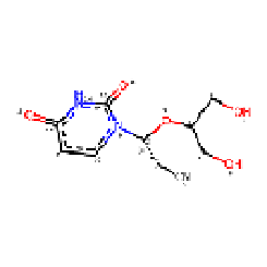 N#CC[C@@H](OC(CO)CO)n1ccc(=O)[nH]c1=O